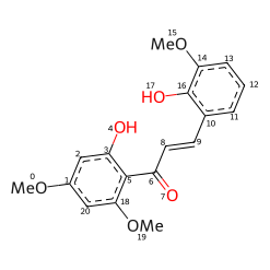 COc1cc(O)c(C(=O)/C=C/c2cccc(OC)c2O)c(OC)c1